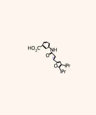 CC(C)c1cc(/C=C/C(=O)Nc2cccc(C(=O)O)c2)oc1C(C)C